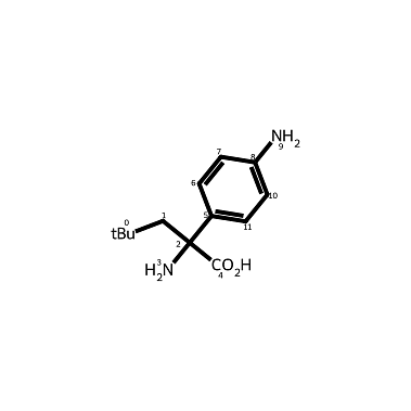 CC(C)(C)CC(N)(C(=O)O)c1ccc(N)cc1